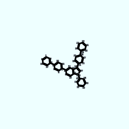 c1ccc(-c2ccc(-c3ccc4c(c3)c(-c3ccc(-c5ccccc5)cc3)cn4-c3ccccc3)cc2)cc1